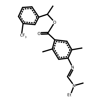 CCN(C)/C=N/c1cc(C)c(C(=O)OC(C)c2cccc(C(F)(F)F)c2)cc1C